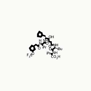 CC[C@H](C)[C@H](NC(=O)CC[C@H](O)[C@H](Cc1ccccc1)NC(=O)C(NC(=O)Cc1cccc(OC(F)(F)F)c1)C(C)C)C(=O)NC(C(=O)O)C(C)C